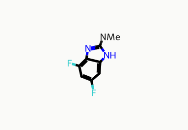 CNc1nc2c(F)cc(F)cc2[nH]1